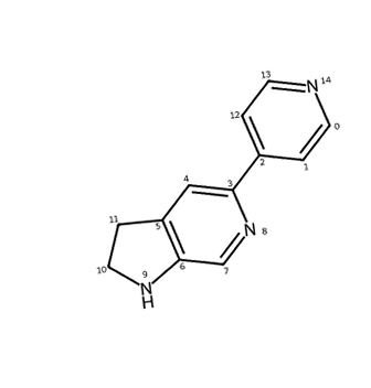 c1cc(-c2cc3c(cn2)NCC3)ccn1